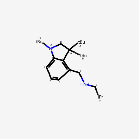 CC(C)CNCc1cccc2c1C(C(C)(C)C)(C(C)(C)C)CN2C(C)(C)C